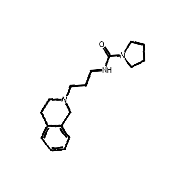 O=C(NCCCN1CCc2ccccc2C1)N1CCCC1